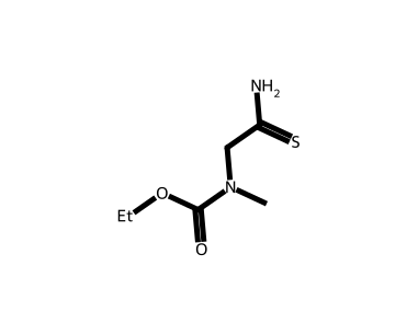 CCOC(=O)N(C)CC(N)=S